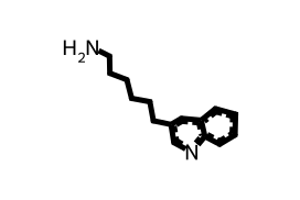 NCCCCCCc1cnc2ccccc2c1